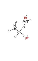 C[SiH](C)C(C)(C)C.[Br-].[Br-].[Mg+2]